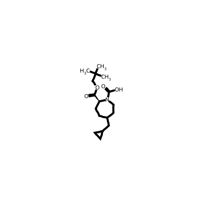 CC(C)(C)COC(=O)[C@@H]1CCC(CC2CC2)CCN1C(=O)O